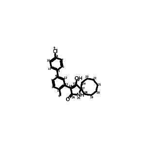 Cc1ccc(-c2ccc(Cl)cc2)cc1C1=C(O)C2(CCCCCCC2)NC1=O